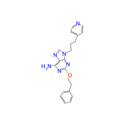 Nc1nc(OCCc2ccccc2)nc2c1ncn2CCCc1ccncc1